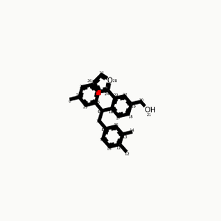 Cc1cccc(C(Cc2ccc(C)c(C)c2)c2ccc(CO)cc2-c2ccco2)c1